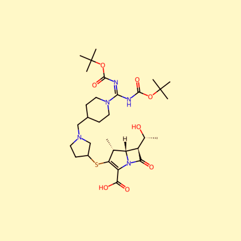 C[C@@H](O)[C@H]1C(=O)N2C(C(=O)O)=C(SC3CCN(CC4CCN(C(=NC(=O)OC(C)(C)C)NC(=O)OC(C)(C)C)CC4)C3)[C@H](C)[C@H]12